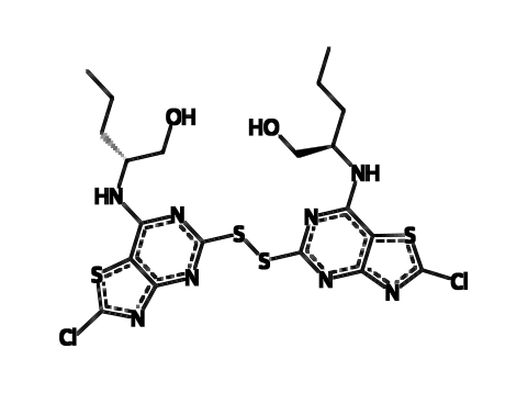 CCC[C@H](CO)Nc1nc(SSc2nc(N[C@@H](CO)CCC)c3sc(Cl)nc3n2)nc2nc(Cl)sc12